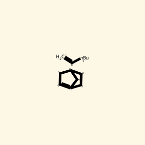 C1=C2CCC(C1)C2.C=CCCCC